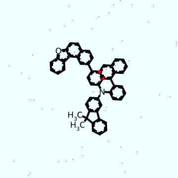 CC1(C)c2ccccc2-c2cc(N(c3ccc(-c4ccc5ccc6oc7ccccc7c6c5c4)cc3)c3ccccc3-c3cccc4ccccc34)ccc21